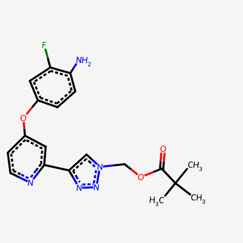 CC(C)(C)C(=O)OCn1cc(-c2cc(Oc3ccc(N)c(F)c3)ccn2)nn1